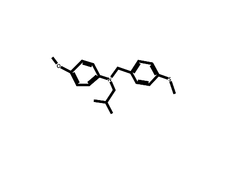 COc1ccc(N(Cc2ccc(SC)cc2)CC(C)C)cc1